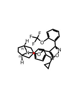 FC(F)(F)Oc1ccccc1-c1noc(C2CC2)c1COC1C[C@H]2CC[C@@H](C1)N2c1ccc(Br)cc1